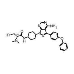 CC(C)C[C@@H](C(=O)NC1CCC(n2nc(-c3ccc(Oc4ccccc4)cc3)c3c(N)ncnc32)CC1)N(C)C